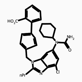 CCCc1nc2c(Cl)cc(N(C(N)=O)C3CCCCC3)cc2n1Cc1ccc(-c2ccccc2C(=O)O)cc1